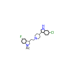 CC(=O)N1CC(CCN2CCC(c3c[nH]c4cc(Cl)ccc34)CC2)c2cc(F)ccc21